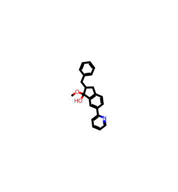 COC1(O)c2cc(-c3ccccn3)ccc2CC1Cc1ccccc1